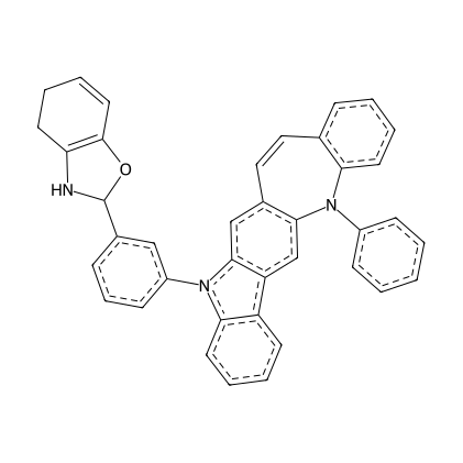 C1=CC2=C(CC1)NC(c1cccc(-n3c4ccccc4c4cc5c(cc43)C=Cc3ccccc3N5c3ccccc3)c1)O2